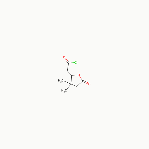 CC1(C)CC(=O)OC1CC(=O)Cl